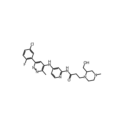 Cc1nnc(-c2cc(Cl)ccc2F)cc1Nc1ccnc(NC(=O)CCN2CCN(C)CC2CO)c1